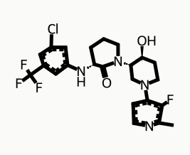 Cc1nccc(N2CC[C@H](O)[C@@H](N3CCC[C@@H](Nc4cc(Cl)cc(C(F)(F)F)c4)C3=O)C2)c1F